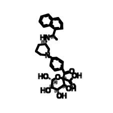 C[C@@H](N[C@H]1CCCN(c2ccc(C(=O)[C@]3(C(=O)O)O[C@@H](O)[C@H](O)[C@@H](O)[C@@H]3O)cc2)C1)c1cccc2ccccc12